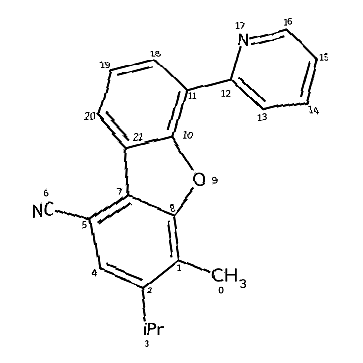 Cc1c(C(C)C)cc(C#N)c2c1oc1c(-c3ccccn3)cccc12